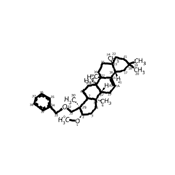 CO[C@H]1CC[C@@]2(C)C(CC[C@]3(C)[C@@H]2CC=C2[C@H]4CC(C)(C)CC[C@]4(C)CC[C@]23C)[C@]1(C)COCc1ccccc1